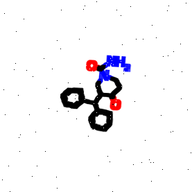 NC(=O)N1CCC(=O)C(C(c2ccccc2)c2ccccc2)C1